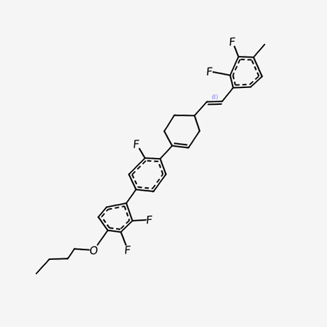 CCCCOc1ccc(-c2ccc(C3=CCC(/C=C/c4ccc(C)c(F)c4F)CC3)c(F)c2)c(F)c1F